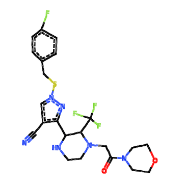 N#Cc1cn(SCc2ccc(F)cc2)nc1C1NCCN(CC(=O)N2CCOCC2)C1C(F)(F)F